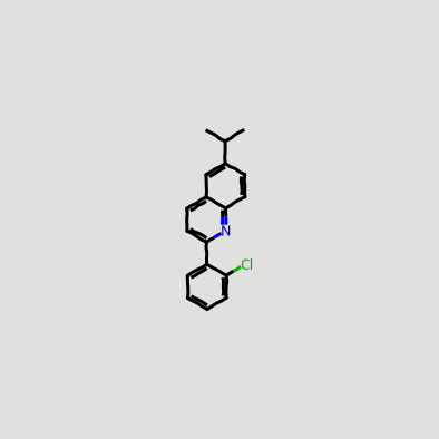 CC(C)c1ccc2nc(-c3ccccc3Cl)ccc2c1